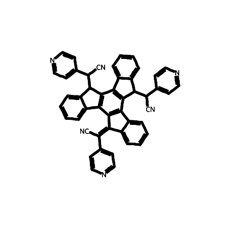 N#C/C(=C1/c2ccccc2-c2c1c1c(c3c2C(C(C#N)c2ccncc2)c2ccccc2-3)C(C(C#N)c2ccncc2)c2ccccc2-1)c1ccncc1